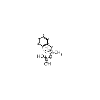 C[Si](C)(Cc1ccccc1)OB(O)O